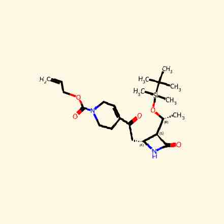 C=CCOC(=O)N1CC=C(C(=O)C[C@H]2NC(=O)[C@@H]2[C@@H](C)O[Si](C)(C)C(C)(C)C)CC1